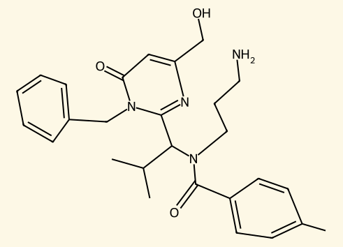 Cc1ccc(C(=O)N(CCCN)C(c2nc(CO)cc(=O)n2Cc2ccccc2)C(C)C)cc1